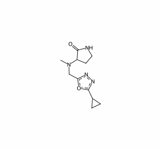 CN(Cc1nnc(C2CC2)o1)C1CCNC1=O